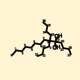 CCCCCCCCC(CCCC)(CCCC)C(O)(O)CCCC